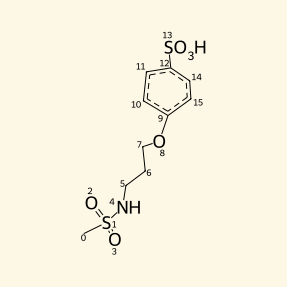 CS(=O)(=O)NCCCOc1ccc(S(=O)(=O)O)cc1